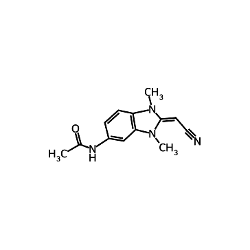 CC(=O)Nc1ccc2c(c1)N(C)C(=CC#N)N2C